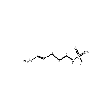 CCCCCC=CCCCOS(C)(=O)=O